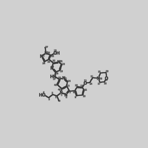 CC(CCO)n1nc(-c2cccc(OCCN3CCOCC3)c2)c2cnc(Nc3ccnc(-c4cnn(C)c4O)n3)cc21